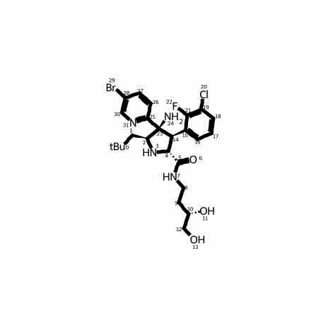 CC(C)(C)C[C@@H]1N[C@@H](C(=O)NCC[C@H](O)CO)[C@H](c2cccc(Cl)c2F)[C@@]1(N)c1ccc(Br)cn1